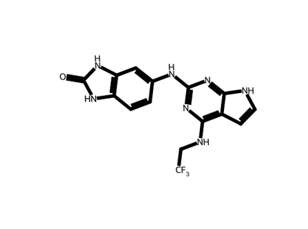 O=c1[nH]c2ccc(Nc3nc(NCC(F)(F)F)c4cc[nH]c4n3)cc2[nH]1